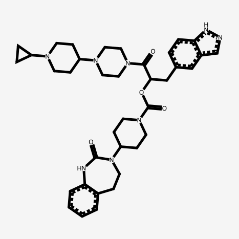 O=C(OC(Cc1ccc2[nH]ncc2c1)C(=O)N1CCN(C2CCN(C3CC3)CC2)CC1)N1CCC(N2CCc3ccccc3NC2=O)CC1